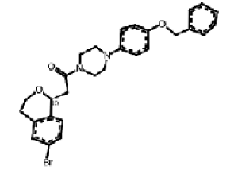 O=C(C[C@@H]1OCCc2cc(Br)ccc21)N1CCN(c2ccc(OCc3ccccc3)cc2)CC1